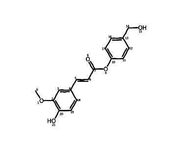 COc1cc(C=CC(=O)Oc2ccc(CO)cc2)ccc1O